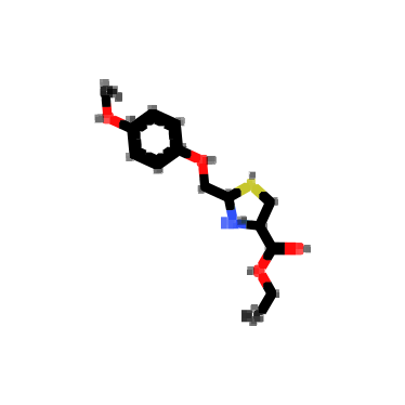 CCOC(=O)C1CSC(COc2ccc(OC)cc2)N1